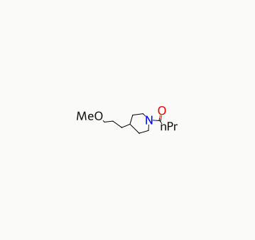 CCCC(=O)N1CCC(CCCOC)CC1